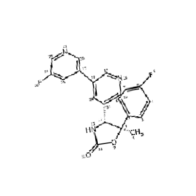 C[C@]1(c2ccc(F)cc2)OC(=O)N[C@@H]1c1cncc(-c2cncc(F)c2)c1